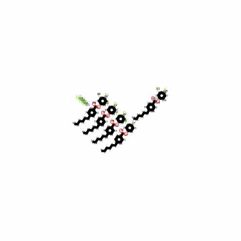 CCCCCCc1ccc(C(=O)Oc2ccc([S])c(F)c2)cc1.CCCCCCc1ccc(C(=O)Oc2ccc([S])c(F)c2)cc1.CCCCCCc1ccc(C(=O)Oc2ccc([S])c(F)c2)cc1.CCCCCCc1ccc(C(=O)Oc2ccc([S])c(F)c2)cc1.CCCCCCc1ccc(C(=O)Oc2ccc([S])c(F)c2)cc1.F.F.F.F.F